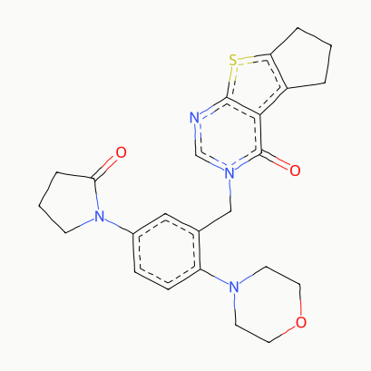 O=C1CCCN1c1ccc(N2CCOCC2)c(Cn2cnc3sc4c(c3c2=O)CCC4)c1